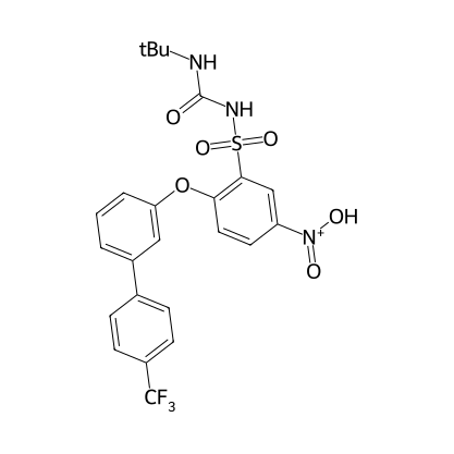 CC(C)(C)NC(=O)NS(=O)(=O)c1cc([N+](=O)O)ccc1Oc1cccc(-c2ccc(C(F)(F)F)cc2)c1